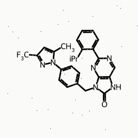 Cc1cc(C(F)(F)F)nn1-c1ccc(Cn2c(=O)[nH]c3cnc(-c4ccccc4C(C)C)nc32)cc1